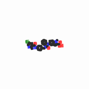 Cc1ncc(Cl)cc1C(=O)NC1CCC(Cn2c(=O)n(-c3ccc4c(c3)cc(C(=O)O)n4C)c3ccccc32)CC1